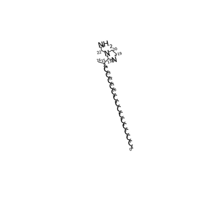 C=C=C=C=C=C=C=C=C=C=C=C=C=C=C=C(C)C1N=CCN1CN